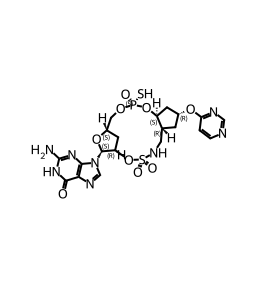 Nc1nc2c(ncn2[C@H]2O[C@@H]3CO[P@](=O)(S)O[C@H]4C[C@H](Oc5ccncn5)C[C@@H]4CNS(=O)(=O)O[C@@H]2C3)c(=O)[nH]1